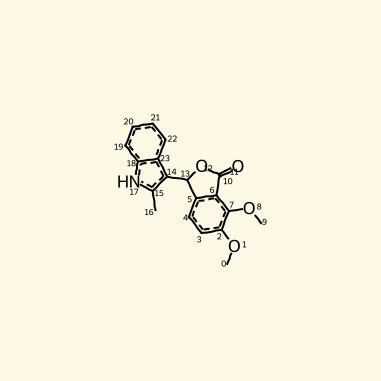 COc1ccc2c(c1OC)C(=O)OC2c1c(C)[nH]c2ccccc12